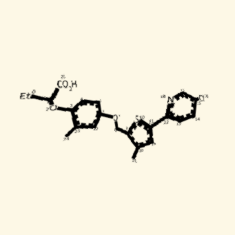 CCC(Oc1ccc(OCc2sc(-c3ccc(Cl)cn3)cc2C)cc1C)C(=O)O